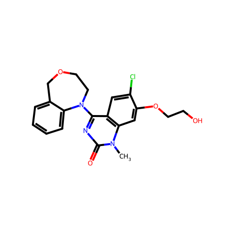 Cn1c(=O)nc(N2CCOCc3ccccc32)c2cc(Cl)c(OCCO)cc21